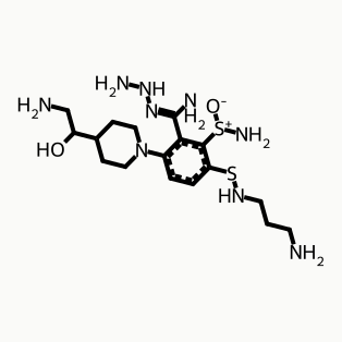 NCCCNSc1ccc(N2CCC(C(O)CN)CC2)c(/C(N)=N/NN)c1[S+](N)[O-]